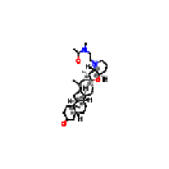 CC(=O)N(C)CCN1CCC[C@H]2O[C@]3(CC[C@@H]4C(=C(C)C3)C[C@H]3[C@H]4CC[C@@H]4CC(=O)CC[C@@]43C)[C@H](C)[C@@H]21